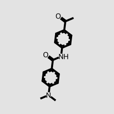 CC(=O)c1ccc(NC(=O)c2ccc(N(C)C)cc2)cc1